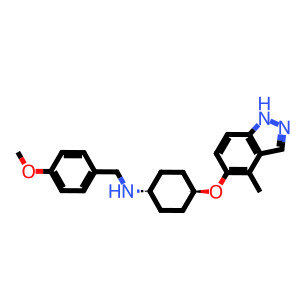 COc1ccc(CN[C@H]2CC[C@H](Oc3ccc4[nH]ncc4c3C)CC2)cc1